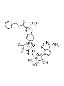 COC(=O)[C@H](C)NP(=O)(OC[C@@]1(C#N)O[C@@H](c2ccc3c(N)ncnn23)[C@H](O)[C@@H]1O)Oc1ccc(C[C@H](NC(=O)OCc2ccccc2)C(=O)O)cc1